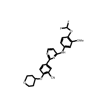 COc1cc(Nc2ccnc(-c3ccc(OC4CCOCC4)c(C#N)c3)n2)ccc1OC(F)F